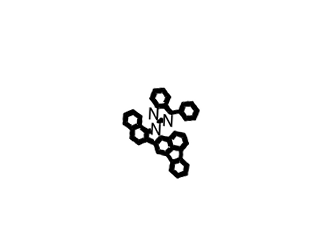 c1ccc(-c2nc(-n3c4c5ccccc5ccc4c4cc5c6c(cccc6c43)-c3ccccc3-5)nc3ccccc23)cc1